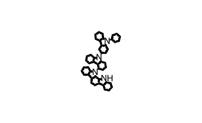 c1ccc(-n2c3ccccc3c3cc(-n4c5ccccc5c5c(-n6c7ccccc7c7ccc8c9ccccc9[nH]c8c76)cccc54)ccc32)cc1